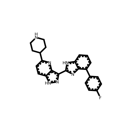 Fc1ccc(-c2cccc3[nH]c(-c4n[nH]c5ccc(C6CCNCC6)nc45)nc23)cc1